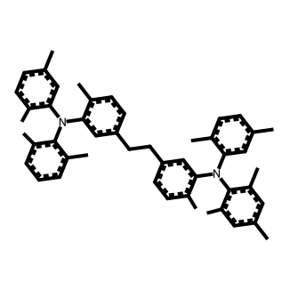 Cc1cc(C)c(N(c2cc(C)ccc2C)c2cc(CCc3ccc(C)c(N(c4cc(C)ccc4C)c4c(C)cccc4C)c3)ccc2C)c(C)c1